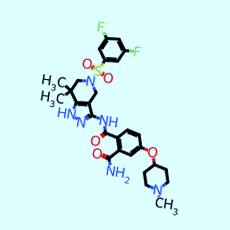 CN1CCC(Oc2ccc(C(=O)Nc3n[nH]c4c3CN(S(=O)(=O)c3cc(F)cc(F)c3)CC4(C)C)c(C(N)=O)c2)CC1